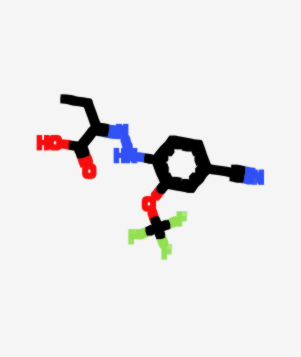 CCC(=NNc1ccc(C#N)cc1OC(F)(F)F)C(=O)O